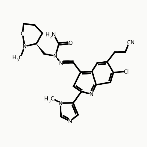 CN1CCCC[C@H]1CN(/N=C/c1cc(-c2cncn2C)nc2cc(Cl)c(CCC#N)cc12)C(N)=O